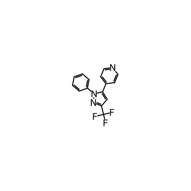 FC(F)(F)c1cc(-c2ccncc2)n(-c2ccccc2)n1